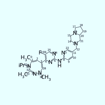 Cc1cc(-c2nc(Nc3ccc(CN4CCN5CCCC5C4)cn3)ncc2F)cn(C)nc(C)n1C(C)C